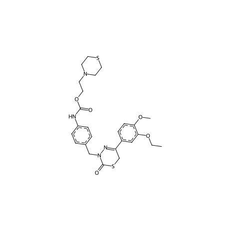 CCOc1cc(C2=NN(Cc3ccc(NC(=O)OCCN4CCSCC4)cc3)C(=O)SC2)ccc1OC